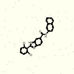 O=C(Nc1ccc2ccccc2c1)c1ccc2nc(-c3c(Cl)cccc3Cl)[nH]c2c1